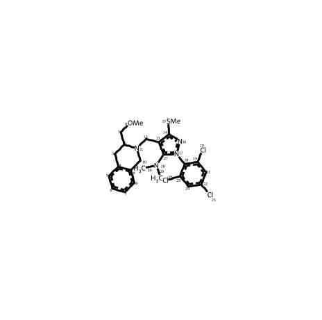 COCC1Cc2ccccc2CN1Cc1c(SC)nn(-c2c(Cl)cc(Cl)cc2Cl)c1N(C)C